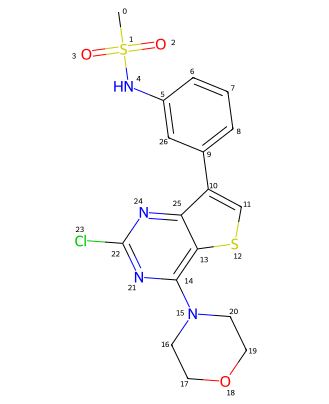 CS(=O)(=O)Nc1cccc(-c2csc3c(N4CCOCC4)nc(Cl)nc23)c1